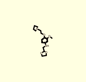 COc1cc(NCC2OCCO2)ccc1OCCN1CCCC1